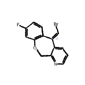 Fc1ccc2c(c1)OCc1ncccc1/C2=C/Br